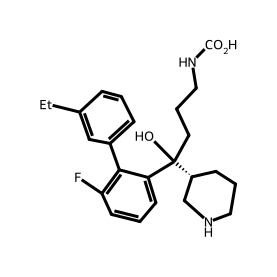 CCc1cccc(-c2c(F)cccc2C(O)(CCCNC(=O)O)[C@@H]2CCCNC2)c1